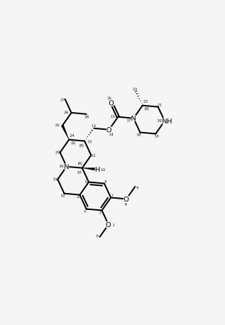 COc1cc2c(cc1OC)[C@H]1C[C@@H](COC(=O)N3CCNC[C@H]3C)[C@H](CC(C)C)CN1CC2